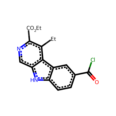 CCOC(=O)c1ncc2[nH]c3ccc(C(=O)Cl)cc3c2c1CC